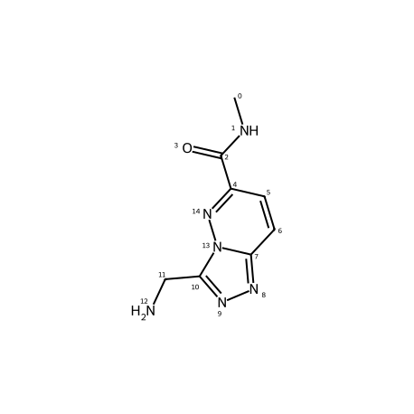 CNC(=O)c1ccc2nnc(CN)n2n1